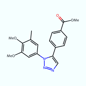 COC(=O)c1ccc(-c2cnnn2-c2cc(C)c(OC)c(OC)c2)cc1